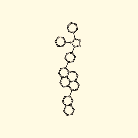 c1ccc(-c2nnc(-c3ccc(-c4ccc5ccc6c(-c7ccc8ccccc8c7)ccc7ccc4c5c76)cc3)n2-c2ccccc2)cc1